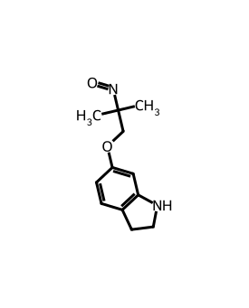 CC(C)(COc1ccc2c(c1)NCC2)N=O